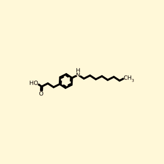 CCCCCCCCNc1ccc(CCC(=O)O)cc1